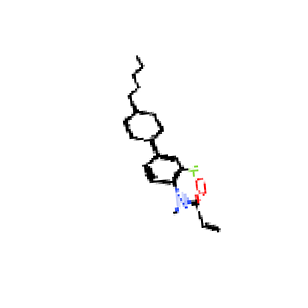 C=CC(=O)N(C)c1ccc(C2CCC(CCCCC)CC2)cc1F